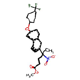 COC(=O)CCC(C)(c1ccc2cc(OC3CCC(C(F)(F)F)CC3)ccc2c1)[N+](=O)[O-]